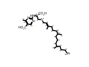 C/C(=C\CSC[C@H](Nc1ncc(C(=O)O)c(C)n1)C(=O)O)CCCC(C)CCCC(C)CCCC(C)C